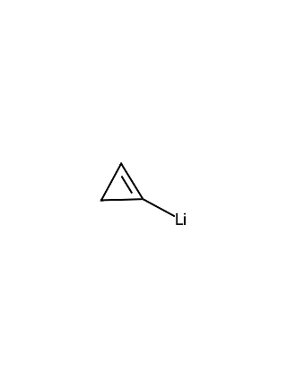 [Li][C]1=CC1